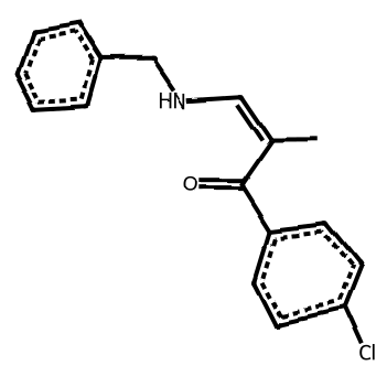 CC(=CNCc1ccccc1)C(=O)c1ccc(Cl)cc1